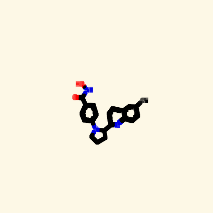 N#Cc1ccc2nc(C3CCCN3c3ccc(C(=O)NO)cc3)ccc2c1